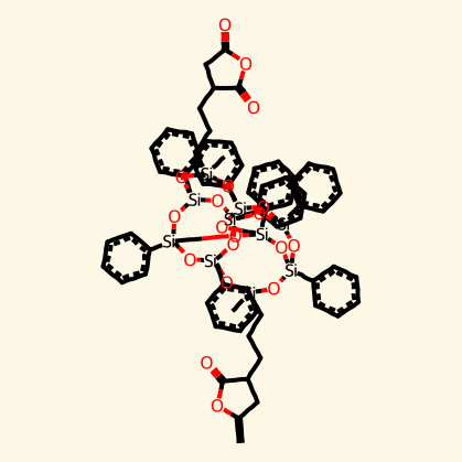 C=C1CC(CCC[Si]2(C)O[Si]3(c4ccccc4)O[Si]4(c5ccccc5)O[Si]5(c6ccccc6)O[Si](C)(CCCC6CC(=O)OC6=O)O[Si]6(c7ccccc7)O[Si](c7ccccc7)(O[Si](c7ccccc7)(O2)O[Si](c2ccccc2)(O6)O[Si](c2ccccc2)(O3)O5)O4)C(=O)O1